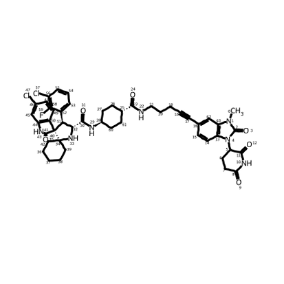 Cn1c(=O)n(C2CCC(=O)NC2=O)c2ccc(C#CCCCNC(=O)[C@H]3CC[C@H](NC(=O)[C@@H]4NC5(CCCCC5)[C@@]5(C(=O)Nc6cc(Cl)ccc65)[C@H]4c4cccc(Cl)c4F)CC3)cc21